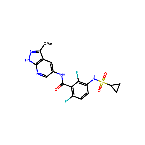 COc1n[nH]c2ncc(NC(=O)c3c(F)ccc(NS(=O)(=O)C4CC4)c3F)cc12